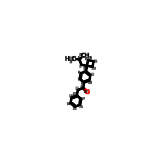 C[C](C)CC1(c2ccc(C(=O)Cc3ccccc3)cc2)CCC1